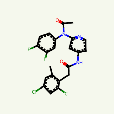 CC(=O)N(c1ccc(F)c(F)c1)c1cc(NC(=O)Cc2c(C)cc(Cl)cc2Cl)ccn1